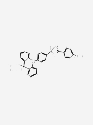 CCCCCCCCC1(CCCCCCCC)c2ccccc2N(c2ccc(-c3nnc(-c4ccc(C(C)(C)C)cc4)o3)cc2)c2ccccc21